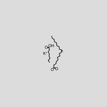 CCCCCCCC(=O)O.CCCCCCCC/C=C\CCCCCCCC(=O)[O-].[K+]